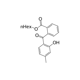 CCCCCCOC(=O)c1ccccc1C(=O)c1ccc(C)cc1O